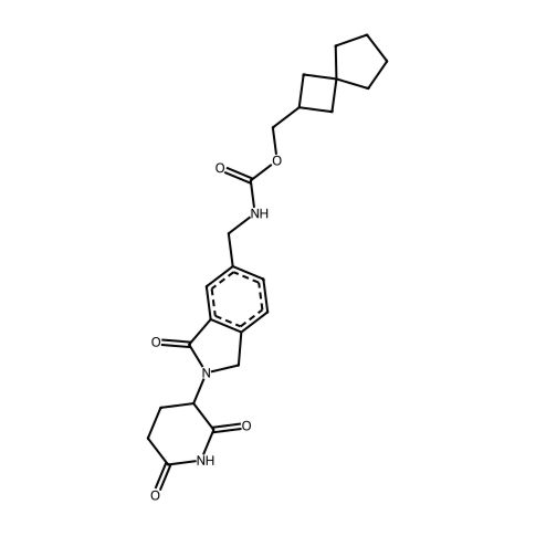 O=C1CCC(N2Cc3ccc(CNC(=O)OCC4CC5(CCCC5)C4)cc3C2=O)C(=O)N1